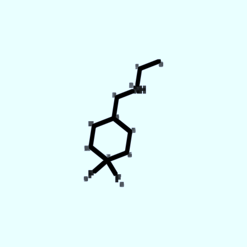 CCNCC1CCC(F)(F)CC1